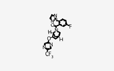 O=C(c1cc(F)ccc1-n1nccn1)N1C[C@H]2C[C@@H](Oc3cnc(C(F)(F)F)cn3)[C@@H]1C2